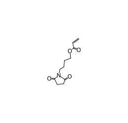 C=CC(=O)OCCCCN1C(=O)CCC1=O